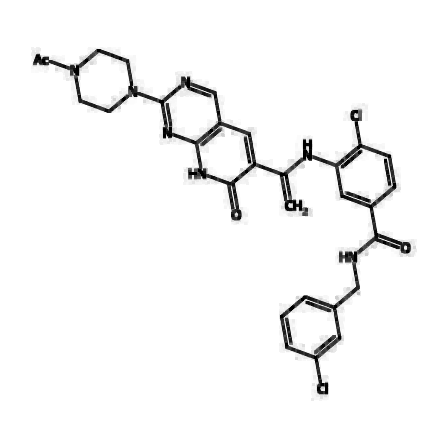 C=C(Nc1cc(C(=O)NCc2cccc(Cl)c2)ccc1Cl)c1cc2cnc(N3CCN(C(C)=O)CC3)nc2[nH]c1=O